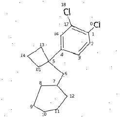 Clc1ccc(C2(CC3CCCCC3)CCC2)cc1Cl